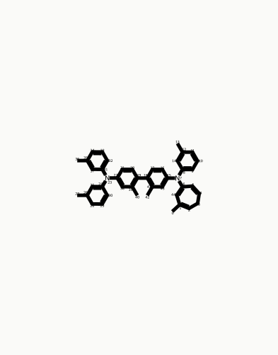 CC1=CCC=CC(N(c2cccc(C)c2)c2ccc(-c3ccc(N(C4=CC(C)CC=C4)c4cccc(C)c4)cc3C)c(C)c2)=C1